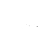 OC(COCC(COCC1CC1)OCC1CO1)COCC(COCC1CO1)OCC1CO1